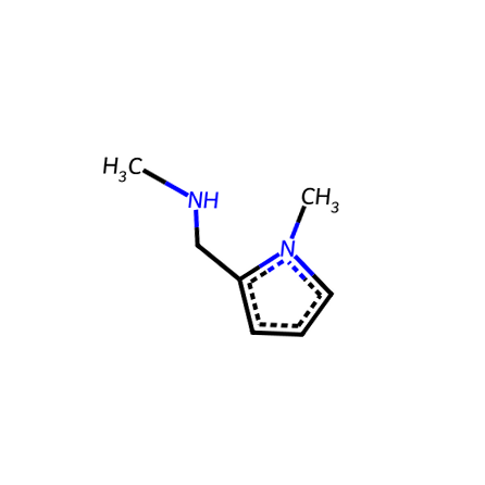 CNCc1cccn1C